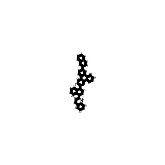 c1ccc2cc(-c3ccc4c5ccc(-c6ccc(-c7ccc8ccccc8n7)c7ccccc67)cc5c5ccccc5c4c3)ccc2c1